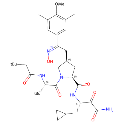 COc1c(C)cc(/C(C[C@H]2C[C@@H](C(=O)N[C@@H](CC3CC3)C(=O)C(N)=O)N(C(=O)[C@@H](NC(=O)CC(C)(C)C)C(C)(C)C)C2)=N/O)cc1C